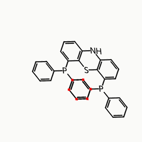 c1ccc(P(c2ccccc2)c2cccc3c2Sc2c(cccc2P(c2ccccc2)c2ccccc2)N3)cc1